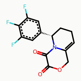 O=C1OCC2=CCC[C@@H](c3cc(F)c(F)c(F)c3)N2C1=O